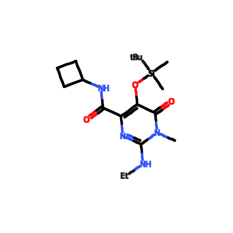 CCNc1nc(C(=O)NC2CCC2)c(O[Si](C)(C)C(C)(C)C)c(=O)n1C